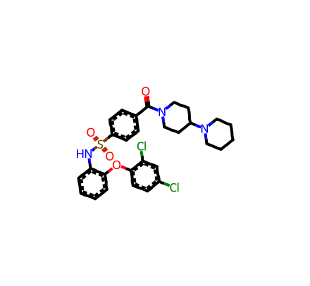 O=C(c1ccc(S(=O)(=O)Nc2ccccc2Oc2ccc(Cl)cc2Cl)cc1)N1CCC(N2CCCCC2)CC1